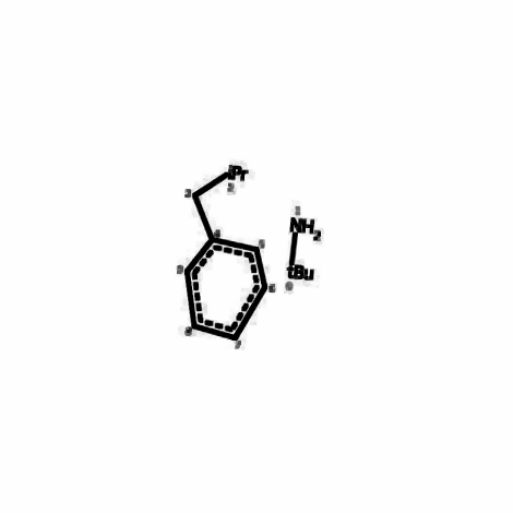 CC(C)(C)N.CC(C)Cc1ccccc1